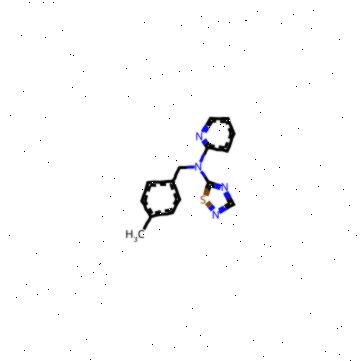 Cc1ccc(CN(c2ccccn2)c2ncns2)cc1